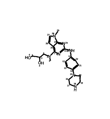 CN(CC(O)CO)c1nc(Nc2ccc(N3CCNCC3)cc2)nc2c1ccn2C